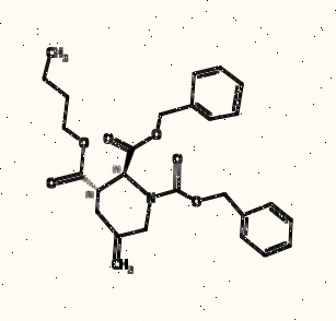 C=C1C[C@H](C(=O)OCCCC)[C@@H](C(=O)OCc2ccccc2)N(C(=O)OCc2ccccc2)C1